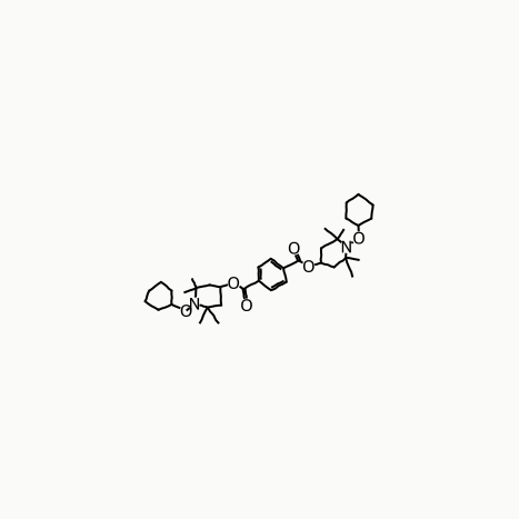 CC1(C)CC(OC(=O)c2ccc(C(=O)OC3CC(C)(C)N(OC4CCCCC4)C(C)(C)C3)cc2)CC(C)(C)N1OC1CCCCC1